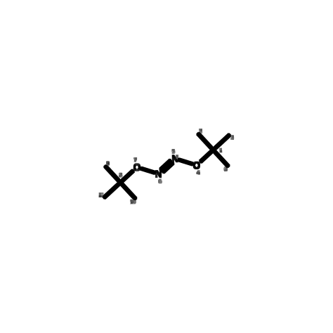 CC(C)(C)ON=NOC(C)(C)C